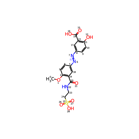 COc1ccc(/N=N/c2ccc(O)c(C(=O)O)c2)cc1C(=O)NCCS(=O)(=O)O